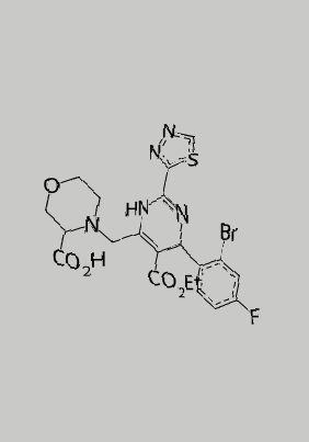 CCOC(=O)C1=C(CN2CCOCC2C(=O)O)NC(c2nncs2)=NC1c1ccc(F)cc1Br